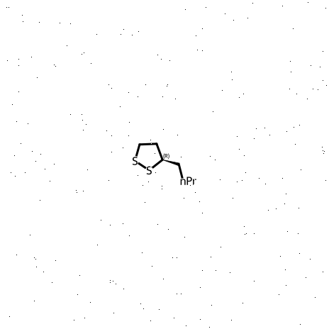 CCCC[C@@H]1CCSS1